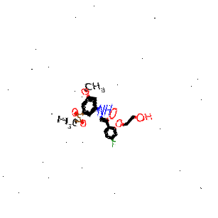 COc1cc(NCC(=O)c2ccc(F)cc2OCCO)cc(S(C)(=O)=O)c1